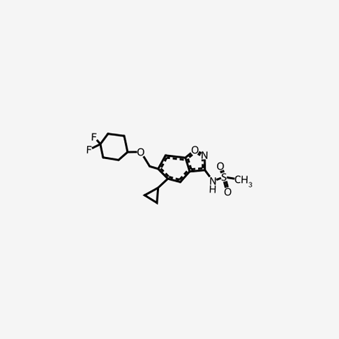 CS(=O)(=O)Nc1noc2cc(COC3CCC(F)(F)CC3)c(C3CC3)cc12